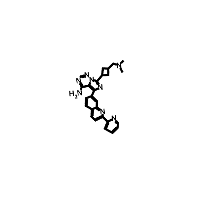 CN(C)CC1CC(c2nc(-c3ccc4ccc(-c5ccccn5)nc4c3)c3c(N)ncnn23)C1